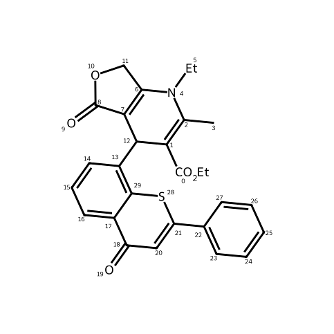 CCOC(=O)C1=C(C)N(CC)C2=C(C(=O)OC2)C1c1cccc2c(=O)cc(-c3ccccc3)sc12